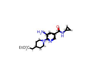 CCOC(=O)CC1CCN(c2ncc(C(=O)NC3CC3)cc2N)CC1